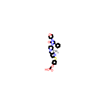 Cc1nc(Sc2ccc(OCC(=O)O)cc2)ccc1CN1CCC(N2C(=O)N(C3CCOCC3)C[C@H]2c2ccccc2)CC1